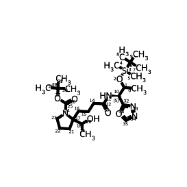 CC(O[Si](C)(C)C(C)(C)C)[C@H](NC(=O)CCCC1(C(C)O)CCCN1C(=O)OC(C)(C)C)c1nnco1